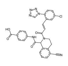 N#Cc1cccc2c1CCN(C(=O)C=Cc1cc(Cl)ccc1-n1cnnn1)C2C(=O)Nc1ccc(C(=O)O)cc1